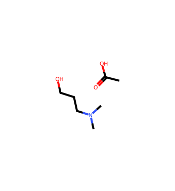 CC(=O)O.CN(C)CCCO